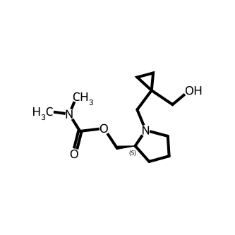 CN(C)C(=O)OC[C@@H]1CCCN1CC1(CO)CC1